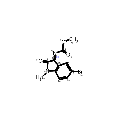 COC(=O)/N=C1/C(=O)N(C)c2ccc(Br)cc21